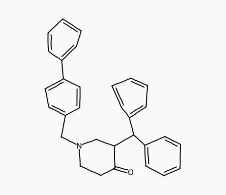 O=C1CCN(Cc2ccc(-c3ccccc3)cc2)CC1C(c1ccccc1)c1ccccc1